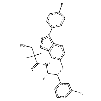 C[C@H](NC(=O)C(C)(C)CO)[C@H](Oc1ccc2c(cnn2-c2ccc(F)cc2)c1)c1cccc(Cl)c1